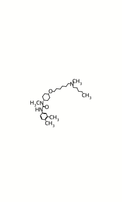 CCCCCN(C)CCCCCCO[C@H]1CC[C@H](N(C)C(=O)Nc2ccc(C)c(C)c2)CC1